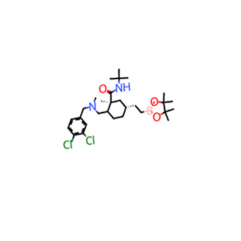 CN(Cc1ccc(Cl)c(Cl)c1)CC1CC[C@@H](CCB2OC(C)(C)C(C)(C)O2)C[C@]1(C)C(=O)NC(C)(C)C